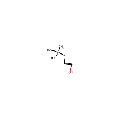 C[Si](C)(C)CC=CO